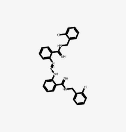 N=C(NCc1ccccc1Cl)c1ccccc1/N=N/Nc1ccccc1C(=N)NCc1ccccc1Cl